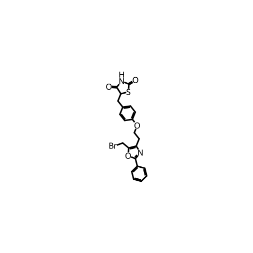 O=C1NC(=O)C(Cc2ccc(OCCc3nc(-c4ccccc4)oc3CBr)cc2)S1